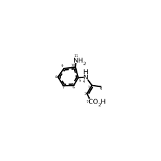 CC(=CC(=O)O)Nc1ccccc1N